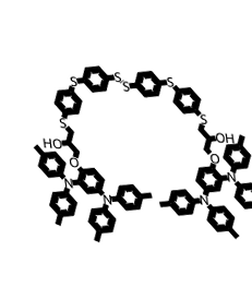 Cc1ccc(N(c2ccc(C)cc2)c2ccc(OCC(O)CSc3ccc(Sc4ccc(SSc5ccc(Sc6ccc(SCC(O)COc7ccc(N(c8ccc(C)cc8)c8ccc(C)cc8)cc7N(c7ccc(C)cc7)c7ccc(C)cc7)cc6)cc5)cc4)cc3)c(N(c3ccc(C)cc3)c3ccc(C)cc3)c2)cc1